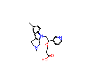 Cc1ccc2c(c1)c1c(n2CC(OCCC(=O)O)c2cccnc2)CN(C)CC1